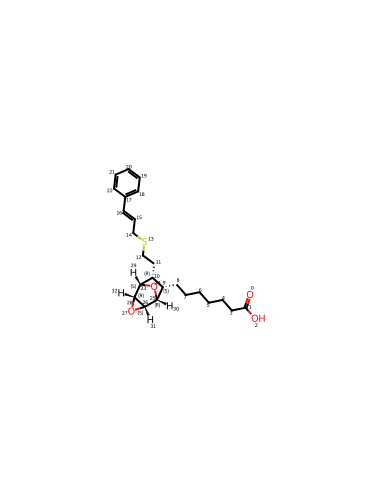 O=C(O)CCCCCC[C@H]1[C@@H](CCSCC=Cc2ccccc2)[C@@H]2O[C@H]1[C@@H]1O[C@@H]12